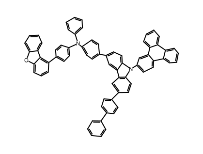 c1ccc(-c2ccc(-c3ccc4c(c3)c3cc(-c5ccc(N(c6ccccc6)c6ccc(-c7cccc8oc9ccccc9c78)cc6)cc5)ccc3n4-c3ccc4c5ccccc5c5ccccc5c4c3)cc2)cc1